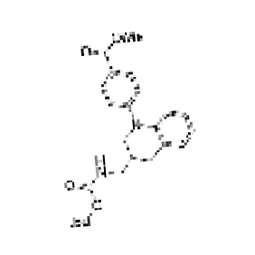 COC(=O)c1ccc(N2CC(CNC(=O)OC(C)(C)C)Cc3ccccc32)cc1